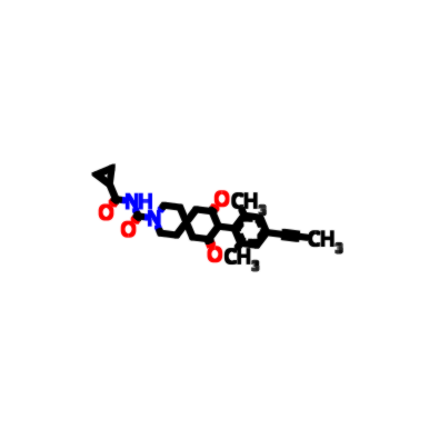 CC#Cc1cc(C)c(C2C(=O)CC3(CCN(C(=O)NC(=O)C4CC4)CC3)CC2=O)c(C)c1